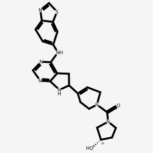 O=C(N1CC=C(C2Cc3c(Nc4ccc5ncsc5c4)ncnc3N2)CC1)N1CC[C@H](O)C1